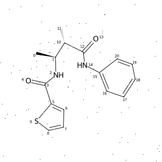 C[C@H](NC(=O)c1cccs1)[C@H](C)C(=O)Nc1ccccc1